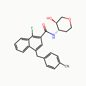 N#Cc1ccc(Cc2cc(C(=O)N[C@H]3CCOC[C@@H]3O)c(F)c3ccccc23)cc1